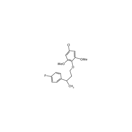 COc1cc(Cl)cc(OC)c1OCCC(C)c1ccc(F)cc1